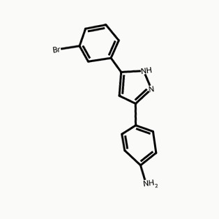 Nc1ccc(-c2cc(-c3cccc(Br)c3)[nH]n2)cc1